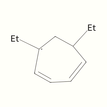 CC[C]1C=CC=CC(CC)C1